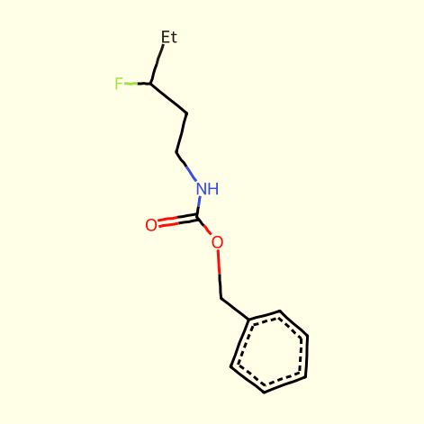 CCC(F)CCNC(=O)OCc1ccccc1